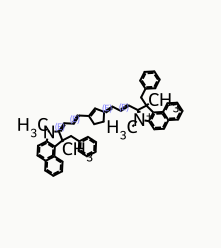 CN1/C(=C/C=C/C2=CC(=C/C=C/C3=[N+](C)c4ccc5ccccc5c4C3(C)Cc3ccccc3)/CC2)C(C)(Cc2ccccc2)c2c1ccc1ccccc21